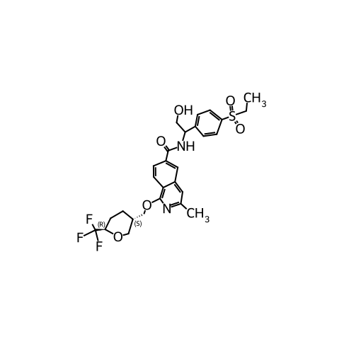 CCS(=O)(=O)c1ccc(C(CO)NC(=O)c2ccc3c(OC[C@H]4CC[C@H](C(F)(F)F)OC4)nc(C)cc3c2)cc1